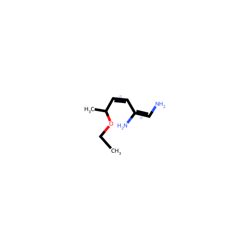 CCOC(C)/C=C\C(N)=C/N